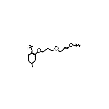 CC1CCC(C(C)C)C(OCCCOCCCOC(C)C)C1